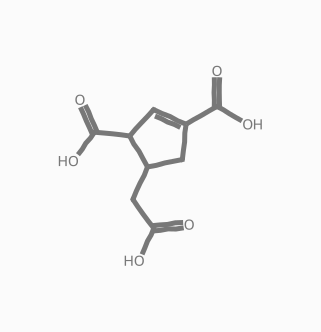 O=C(O)CC1CC(C(=O)O)=CC1C(=O)O